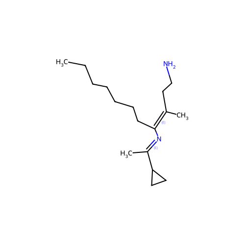 CCCCCCCC(/N=C(\C)C1CC1)=C(/C)CCN